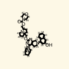 O=C(OCC1CCC2(COc3nc4c(c(N5CC6CCC(C5)N6)n3)CCN(c3cc(O)cc5ccccc35)C4)CCCN12)N1CCOCC1